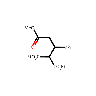 CCCC(CC(=O)OC)C(C(=O)OCC)C(=O)OCC